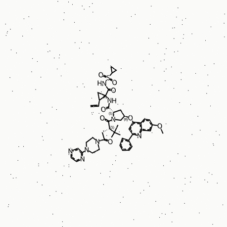 C=CC1C[C@]1(NC(=O)[C@@H]1C[C@@H](Oc2cc(-c3ccccc3)nc3cc(OC)ccc23)CN1C(=O)[C@@H](CC(=O)N1CCN(c2cnccn2)CC1)C(C)(C)C)C(=O)NS(=O)(=O)C1CC1